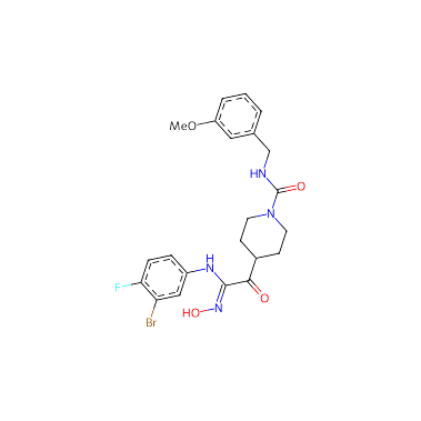 COc1cccc(CNC(=O)N2CCC(C(=O)/C(=N/O)Nc3ccc(F)c(Br)c3)CC2)c1